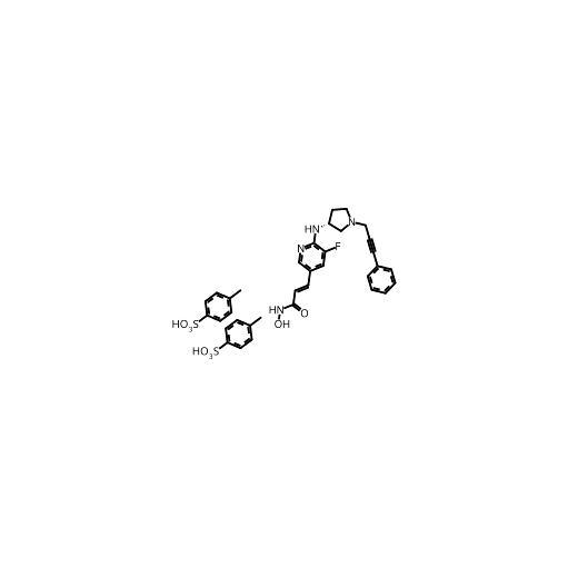 Cc1ccc(S(=O)(=O)O)cc1.Cc1ccc(S(=O)(=O)O)cc1.O=C(/C=C/c1cnc(N[C@@H]2CCN(CC#Cc3ccccc3)C2)c(F)c1)NO